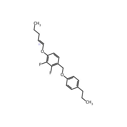 CCC/C=C/Oc1ccc(COc2ccc(CCC)cc2)c(F)c1F